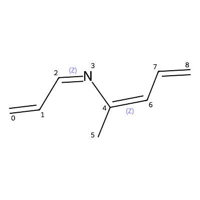 C=C/C=N\C(C)=C/C=C